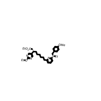 CCOC(=O)C[C@H](CCCCCCc1cccc(N(CC)Cc2ccc(OC)cc2)n1)c1cnc(OCC)nc1